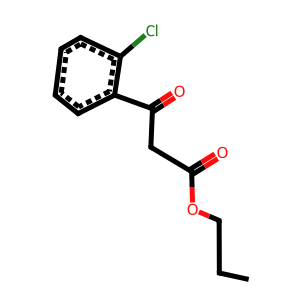 CCCOC(=O)CC(=O)c1ccccc1Cl